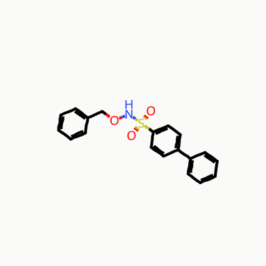 O=S(=O)(NOCc1ccccc1)c1ccc(-c2ccccc2)cc1